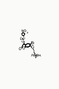 CB(O)NCCCCOc1cc2oc(=O)cc(COC(=O)Oc3ccc([N+](=O)[O-])cc3)c2cc1Br